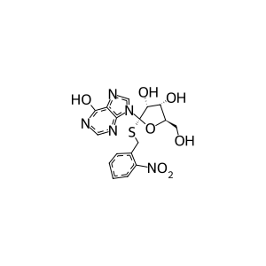 O=[N+]([O-])c1ccccc1CS[C@@]1(n2cnc3c(O)ncnc32)O[C@H](CO)[C@@H](O)[C@H]1O